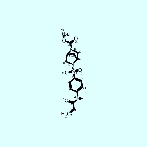 C=CC(=O)Nc1ccc(S(=O)(=O)N2CC3CC2CN3C(=O)OC(C)(C)C)cc1